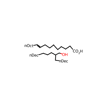 CCCCCCCCC=CCCCCCCCC(=O)O.CCCCCCCCCCCCCC(CO)CCCCCCCCCCC